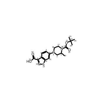 CC1CN(c2ccc3c(C(=O)O)nsc3c2)CCN1C(=O)OC(C)(C)C